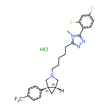 Cl.Cn1c(CCCCCN2C[C@@H]3C[C@]3(c3ccc(C(F)(F)F)cc3)C2)nnc1-c1ccc(F)cc1F